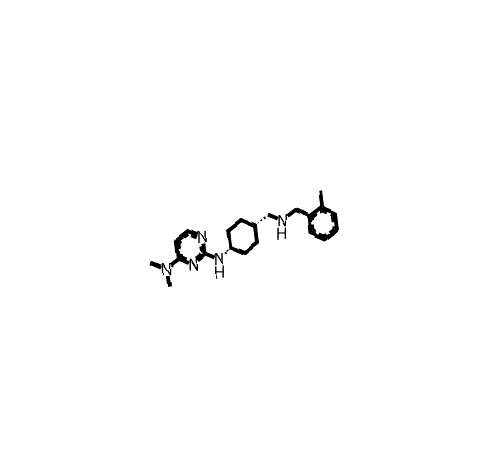 Cc1ccccc1CNC[C@H]1CC[C@@H](Nc2nccc(N(C)C)n2)CC1